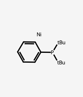 CC(C)(C)P(c1ccccc1)C(C)(C)C.[Ni]